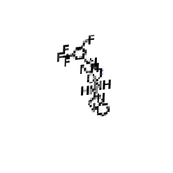 O=C(/C=C\n1cnc(-c2cc(CF)cc(C(F)(F)F)c2)n1)NNc1cnc2ccccc2n1